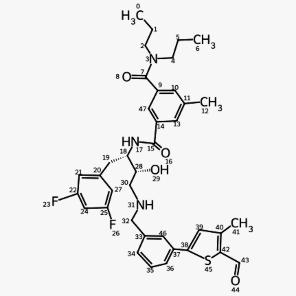 CCCN(CCC)C(=O)c1cc(C)cc(C(=O)N[C@@H](Cc2cc(F)cc(F)c2)[C@H](O)CNCc2cccc(-c3cc(C)c(C=O)s3)c2)c1